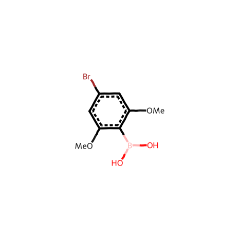 COc1cc(Br)cc(OC)c1B(O)O